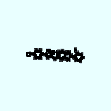 Fc1ccccc1-c1nc2ccn(Cc3cc(-c4ccc(Cl)cc4)n[nH]3)cc-2n1